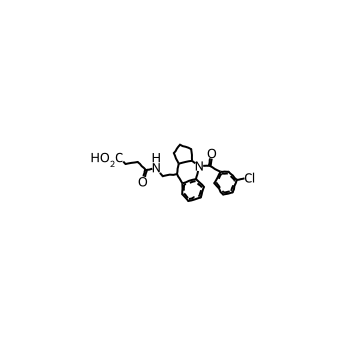 O=C(O)CCC(=O)NCC1c2ccccc2N(C(=O)c2cccc(Cl)c2)C2CCCC12